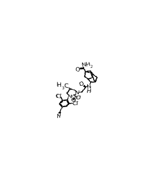 CC1CN(CC(=O)NC2C3CC4CC2CC(C(N)=O)(C4)C3)S(=O)(=O)N(c2c(Cl)cc(C#N)cc2Cl)C1